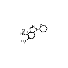 CNc1c(C)ccc2c1cnn2C1CCCCO1